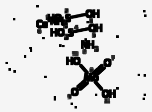 N.N.O=S(=O)(O)O.O=S(=O)(O)O.[Ce].[O]=[Mo](=[O])([OH])[OH]